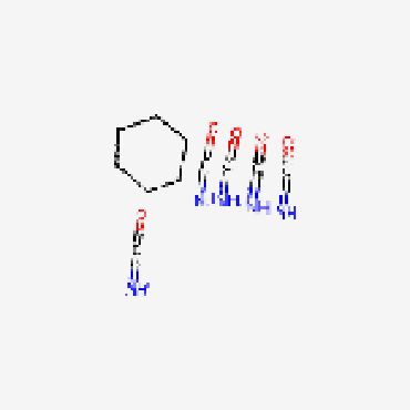 C1CCCCC1.N=C=O.N=C=O.N=C=O.N=C=O.N=C=O